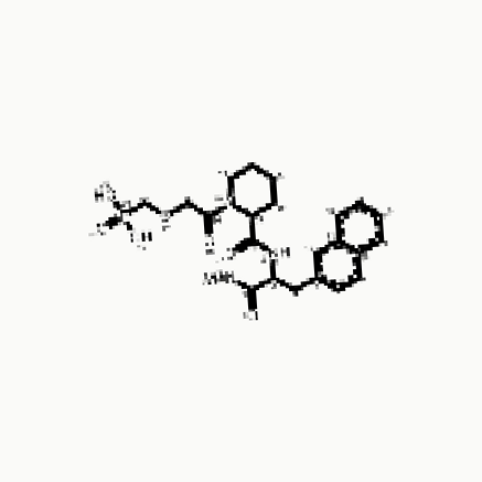 CNC(=O)C(Cc1ccc2ccccc2c1)NC(=O)C1CCCCN1C(=O)CSCP(=O)(O)O